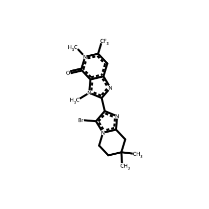 Cn1c(C(F)(F)F)cc2nc(-c3nc4n(c3Br)CCC(C)(C)C4)n(C)c2c1=O